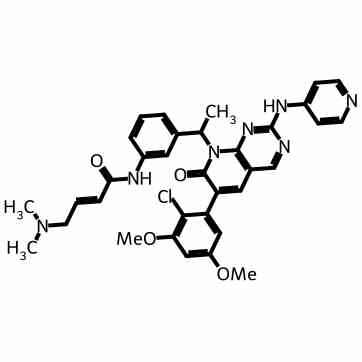 COc1cc(OC)c(Cl)c(-c2cc3cnc(Nc4ccncc4)nc3n(C(C)c3cccc(NC(=O)/C=C/CN(C)C)c3)c2=O)c1